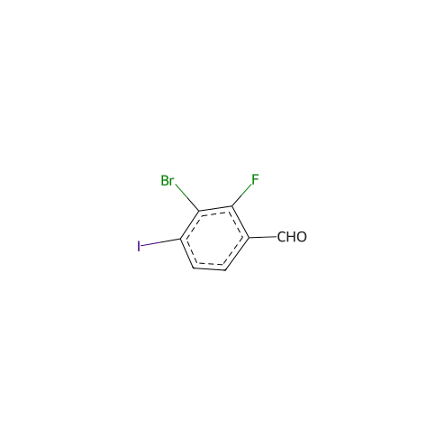 O=Cc1ccc(I)c(Br)c1F